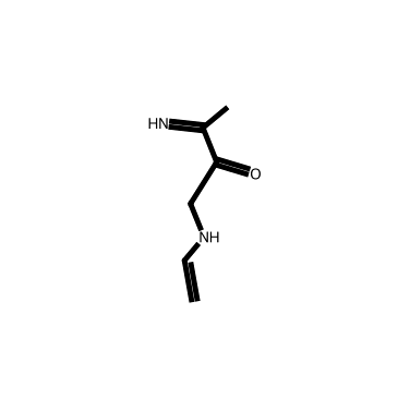 C=CNCC(=O)C(C)=N